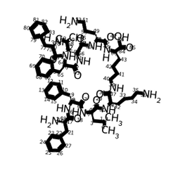 CC(C)C[C@@H](NC(=O)[C@@H](Cc1ccccc1)NC(=O)[C@H](N)Cc1ccccc1)C(=O)N[C@H](CCCCN)C(=O)NCCCC[C@@H](NC(=O)[C@@H](CCCN)NC(=O)[C@@H](CC(C)C)NC(=O)[C@@H](Cc1ccccc1)NC(=O)[C@H](N)Cc1ccccc1)C(=O)O